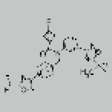 CC1(c2nc(-c3cccc(N(CC45CCC(c6noc(C(F)F)n6)(CC4)CC5)C(=O)C45CC(F)(C4)C5)c3)no2)CC1